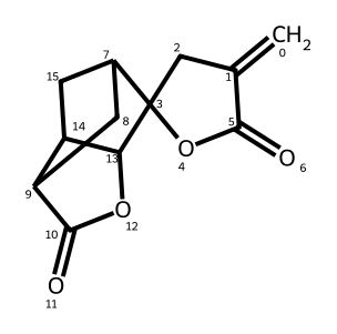 C=C1CC2(OC1=O)C1CC3C(=O)OC2C3C1